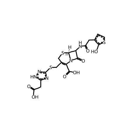 O=C(O)Cc1nc(SCC2=C(C(=O)O)N3C(=O)C(NC(=O)Cc4ccsc4O)[C@@H]3SC2)n[nH]1